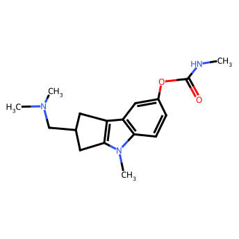 CNC(=O)Oc1ccc2c(c1)c1c(n2C)CC(CN(C)C)C1